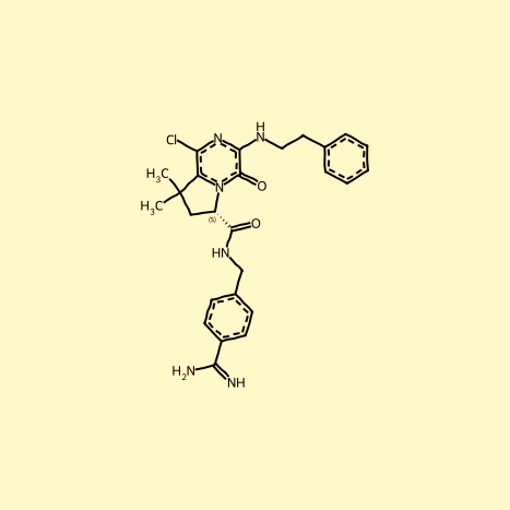 CC1(C)C[C@@H](C(=O)NCc2ccc(C(=N)N)cc2)n2c1c(Cl)nc(NCCc1ccccc1)c2=O